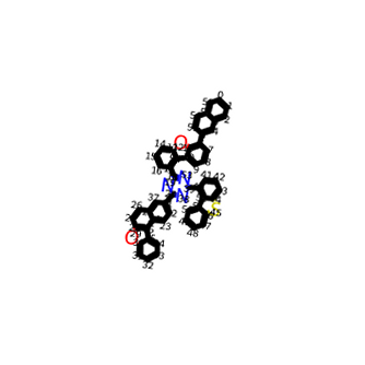 c1ccc2cc(-c3cccc4c3oc3cccc(-c5nc(-c6ccc7c(ccc8oc9ccccc9c87)c6)nc(-c6cccc7sc8ccccc8c67)n5)c34)ccc2c1